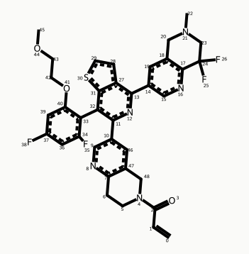 C=CC(=O)N1CCc2ncc(-c3nc(-c4cnc5c(c4)CN(C)CC5(F)F)c4ccsc4c3-c3c(F)cc(F)cc3OCCOC)cc2C1